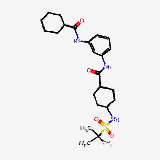 CC(C)(C)S(=O)(=O)NC1CCC(C(=O)Nc2cccc(NC(=O)C3CCCCC3)c2)CC1